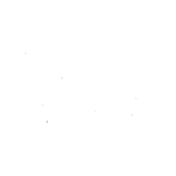 CC(C)CCCC(=O)Nc1ccc(O)c(-c2c(-c3ccc(C(=N)N)cc3)[nH]c3cc(C(=N)N)ccc23)c1